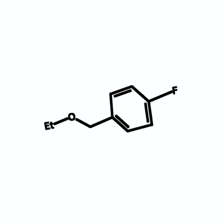 CCOCc1ccc(F)cc1